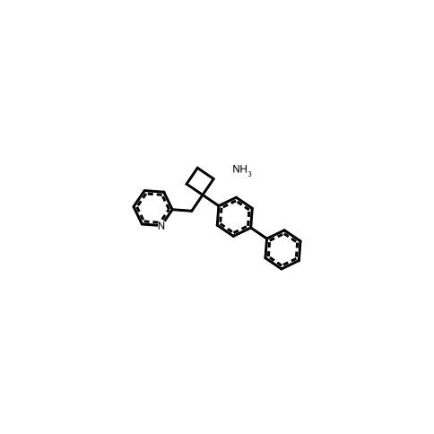 N.c1ccc(-c2ccc(C3(Cc4ccccn4)CCC3)cc2)cc1